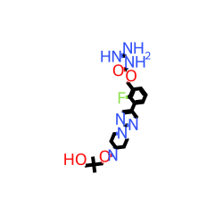 CC(C)(CO)CON=C1CCN(c2ncc(-c3cccc(COC(=O)NC(=N)N)c3F)cn2)CC1